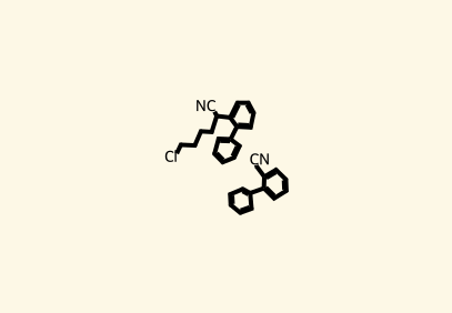 N#CC(CCCCCl)c1ccccc1-c1ccccc1.N#CCc1ccccc1-c1ccccc1